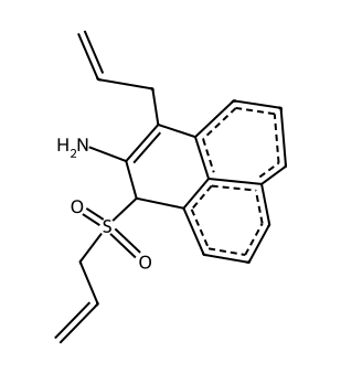 C=CCC1=C(N)C(S(=O)(=O)CC=C)c2cccc3cccc1c23